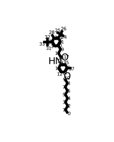 CCCCCCCCCCOc1ccc(NC(=O)CCc2cc(C(C)(C)C)c(C)c(C(C)(C)C)c2)cc1C